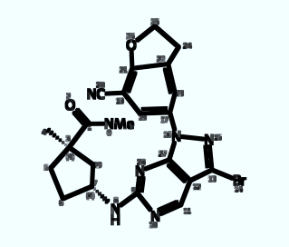 CNC(=O)[C@]1(C)CC[C@@H](Nc2ncc3c(Br)nn(-c4cc(C#N)c5c(c4)CCO5)c3n2)C1